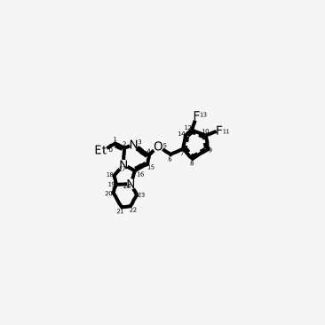 CC/C=C1/N=C(OCc2ccc(F)c(F)c2)C=C2N1CC1CCCCN21